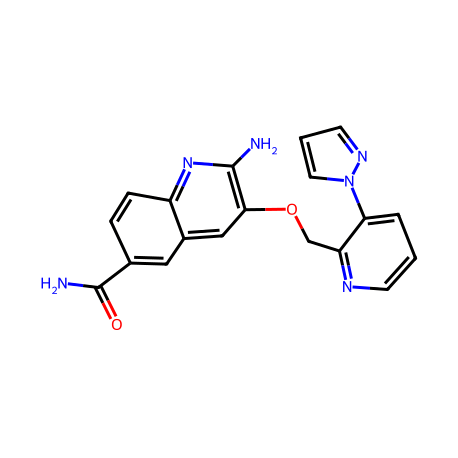 NC(=O)c1ccc2nc(N)c(OCc3ncccc3-n3cccn3)cc2c1